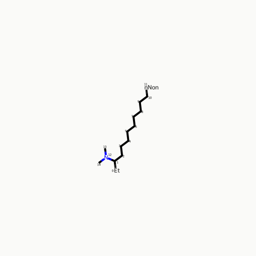 [CH2]CC(CCCCCCCCCCCCCCCCCC)N(C)C